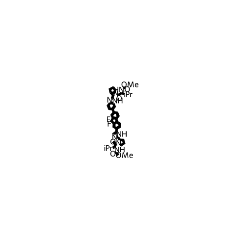 COC(=O)NC(C(=O)N1CCCC1c1ncc(-c2ccc3c(c2)C(F)(F)c2cc(-c4ccc5nc(C6C7CCC(C7)N6C(=O)C(NC(=O)OC)C(C)C)[nH]c5c4)ccc2-3)[nH]1)C(C)C